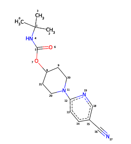 CC(C)(C)NC(=O)OC1CCN(c2ccc(C#N)cn2)CC1